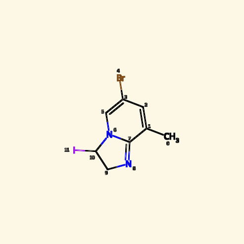 CC1=CC(Br)=CN2C1=NCC2I